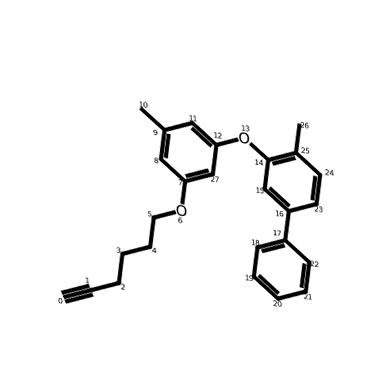 C#CCCCCOc1cc(C)cc(Oc2cc(-c3ccccc3)ccc2C)c1